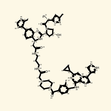 Cc1cc([C@H](C(=O)N2C[C@H](O)C[C@H]2C(=O)N[C@@H](CC(=O)NCCCNC(=O)CN2CCN(C(=O)c3ccc(Nc4nc(C5CC5)cn5c(-c6cn[nH]c6)cnc45)c(F)c3)CC2)c2ccc(-c3scnc3C)cc2)C(C)C)on1